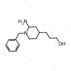 NC1CC(CCCO)CCN1Cc1ccccc1